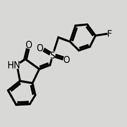 O=C1Nc2ccccc2C1=CS(=O)(=O)Cc1ccc(F)cc1